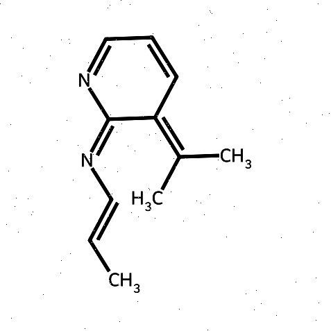 C/C=C/N=C1/N=CC=CC1=C(C)C